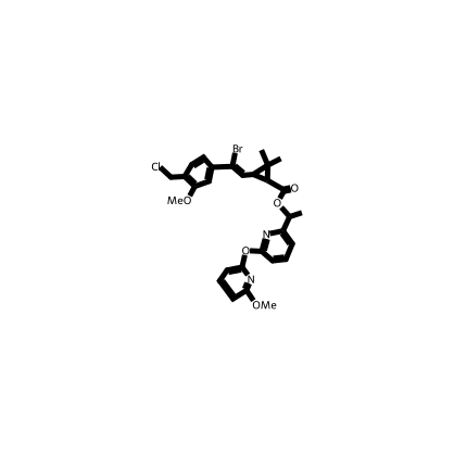 COc1cccc(Oc2cccc(C(C)OC(=O)C3C(C=C(Br)c4ccc(CCl)c(OC)c4)C3(C)C)n2)n1